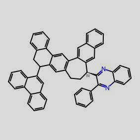 c1ccc(-c2nc3ccccc3nc2[C@H]2CCc3cc4c(cc3-c3cc5ccccc5cc32)-c2ccccc2CC4c2cc3ccccc3c3ccccc23)cc1